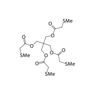 CSCC(=O)OCC(COC(=O)CSC)(COC(=O)CSC)COC(=O)CSC